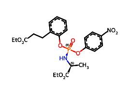 CCOC(=O)CCc1ccccc1O[P@@](=O)(N[C@@H](C)C(=O)OCC)Oc1ccc([N+](=O)[O-])cc1